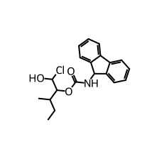 CCC(C)C(OC(=O)NC1c2ccccc2-c2ccccc21)C(O)Cl